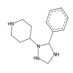 c1ccc(C2NCNN2C2CCNCC2)cc1